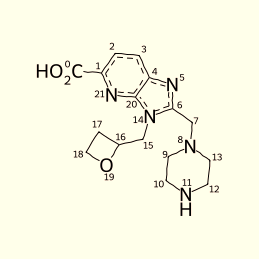 O=C(O)c1ccc2nc(CN3CCNCC3)n(CC3CCO3)c2n1